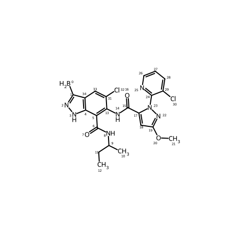 Bc1n[nH]c2c(C(=O)NC(C)CC)c(NC(=O)c3cc(OC)nn3-c3ncccc3Cl)c(Cl)cc12